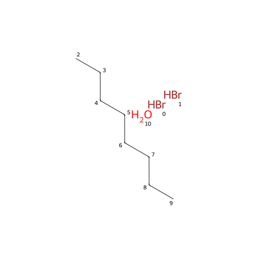 Br.Br.CCCCCCCC.O